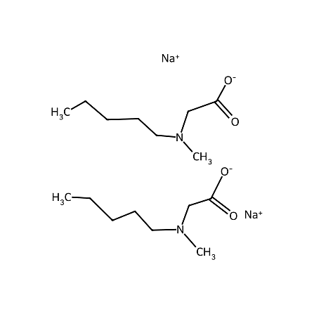 CCCCCN(C)CC(=O)[O-].CCCCCN(C)CC(=O)[O-].[Na+].[Na+]